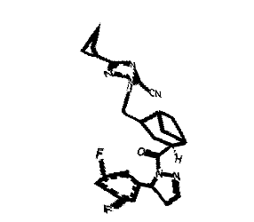 N#Cc1nc(C2CC2)nn1CC1C[C@H](C(=O)N2N=CCC2c2cc(F)cc(F)c2)C2CC1C2